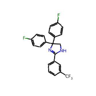 Fc1ccc(C2(c3ccc(F)cc3)CNC(c3cccc(C(F)(F)F)c3)=N2)cc1